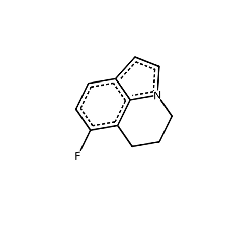 Fc1ccc2ccn3c2c1CCC3